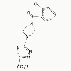 O=C(O)c1ccc(N2CCN(C(=O)c3ccccc3Cl)CC2)nn1